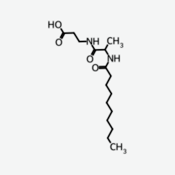 CCCCCCCCCC(=O)NC(C)C(=O)NCCC(=O)O